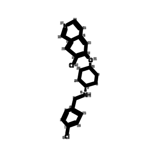 Clc1ccc(CN[C@H]2CC[C@@H](Oc3cc4ccncc4cc3Cl)CC2)cc1